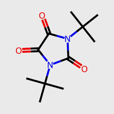 CC(C)(C)N1C(=O)C(=O)N(C(C)(C)C)C1=O